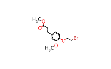 COC(=O)/C=C/c1ccc(OCCBr)c(OC)c1